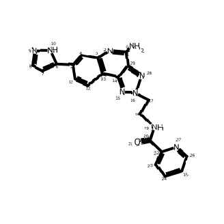 Nc1nc2cc(-c3ccn[nH]3)ccc2c2nn(CCNC(=O)c3ccccn3)nc12